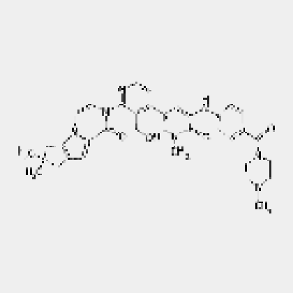 CN1CCN(C(=O)c2ccc(Nc3cc(-c4ccnc(-n5ccn6c7c(cc6c5=O)CC(C)(C)C7)c4CO)cn(C)c3=O)nc2)CC1